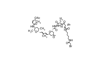 CC(=O)O[C@@H](C)/C=C\C(=O)N[C@@H]1C[C@H](C)[C@H](C/C=C(C)/C=C/[C@@H]2C[C@]3(CO3)C[C@@H](CC(=O)NNC(=O)[C@H](C)NC(=O)[C@@H](NC(=O)CCCCCNC(=O)CBr)C(C)C)O2)O[C@@H]1C